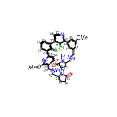 COc1cc(CNCC2CCC(=O)N2)cc(-c2nccc(-c3cccc(-c4ccc(CNCC5CCC(=O)N5)c(OC)n4)c3Cl)c2Cl)c1